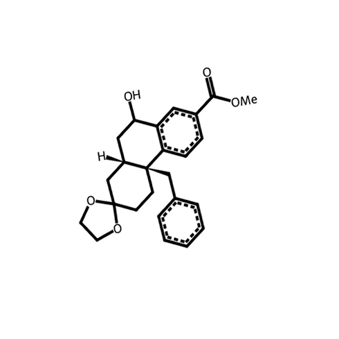 COC(=O)c1ccc2c(c1)C(O)C[C@H]1CC3(CC[C@@]21Cc1ccccc1)OCCO3